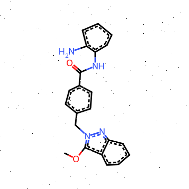 COc1c2ccccc2nn1Cc1ccc(C(=O)Nc2ccccc2N)cc1